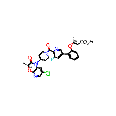 C[C@H](CC(=O)O)Oc1ccccc1-c1cnc(C(=O)N2CCC(N3C(=O)[C@H](C)Oc4ncc(Cl)cc43)CC2)c(F)c1